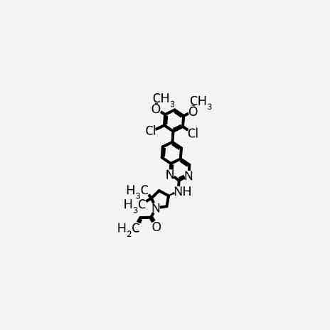 C=CC(=O)N1C[C@H](Nc2ncc3cc(-c4c(Cl)c(OC)cc(OC)c4Cl)ccc3n2)CC1(C)C